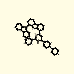 C1=C(c2cccc3c2sc2c(-n4c5ccccc5c5ccccc54)cccc23)N=C(c2ccccc2)NC1c1ccc(-c2ccccc2)cc1